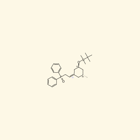 C[C@@H]1C/C(=C/CP(=O)(c2ccccc2)c2ccccc2)C[C@@H](O[Si](C)(C)C(C)(C)C)C1